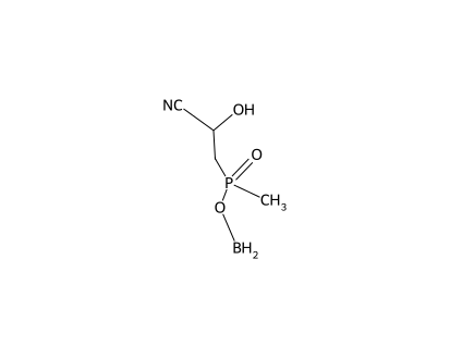 BOP(C)(=O)CC(O)C#N